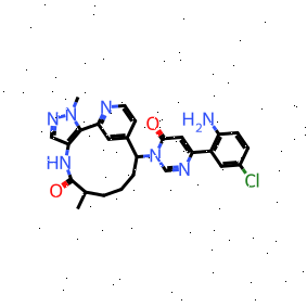 CC1CCCC(n2cnc(-c3cc(Cl)ccc3N)cc2=O)c2ccnc(c2)-c2c(cnn2C)NC1=O